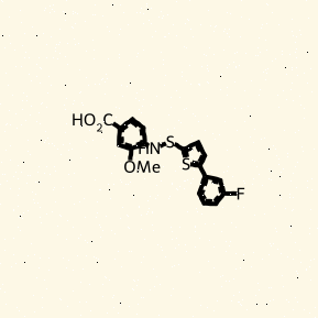 COc1cc(C(=O)O)ccc1NSc1ccc(-c2cccc(F)c2)s1